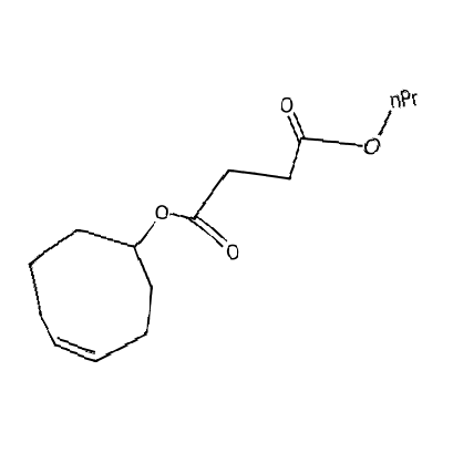 CCCOC(=O)CCC(=O)OC1CC/C=C\CCC1